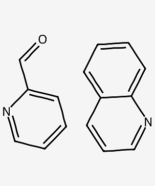 O=Cc1ccccn1.c1ccc2ncccc2c1